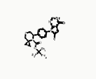 CC(C)(C)OC(=O)N1C(c2ccc(-n3c(Cl)cc4c(=O)[nH]cnc43)cc2)COCC12CC2